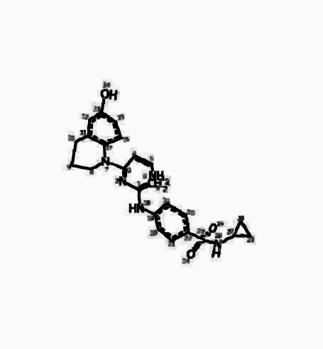 C=C(/N=C(\C=C/N)N1CCCc2cc(O)ccc21)Nc1ccc(S(=O)(=O)NC2CC2)cc1